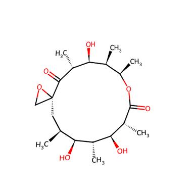 C[C@@H]1[C@@H](O)[C@@H](C)C[C@@]2(CO2)C(=O)[C@H](C)[C@@H](O)[C@@H](C)[C@@H](C)OC(=O)[C@H](C)[C@H]1O